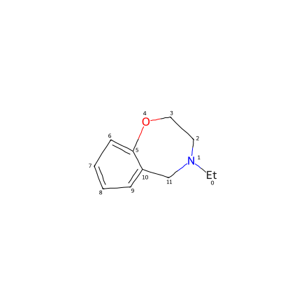 CCN1CCOc2ccccc2C1